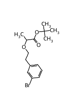 CC(OCCc1cccc(Br)c1)C(=O)OC(C)(C)C